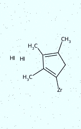 CC1=C(C)C(C)=[C]([Zr])C1.I.I